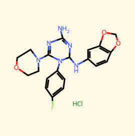 Cl.NC1=NC(Nc2ccc3c(c2)OCO3)N(c2ccc(F)cc2)C(N2CCOCC2)=N1